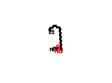 CC/C=C\C/C=C\C/C=C\CCCCCCCCC(CO)OCCC